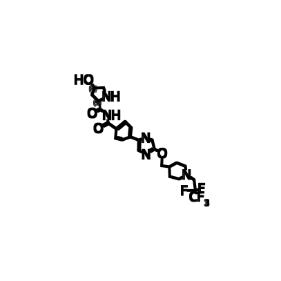 O=C(NC(=O)[C@@H]1C[C@@H](O)CN1)c1ccc(-c2cnc(OCC3CCN(CC(F)(F)C(F)(F)F)CC3)cn2)cc1